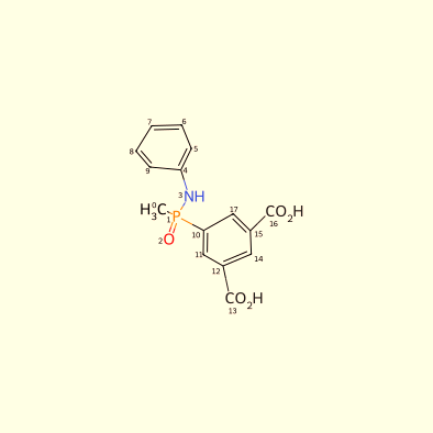 CP(=O)(Nc1ccccc1)c1cc(C(=O)O)cc(C(=O)O)c1